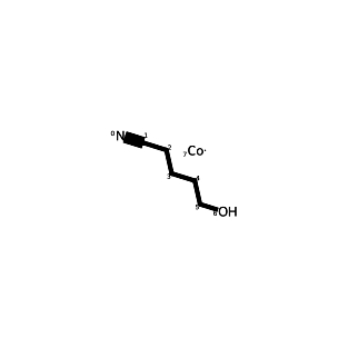 N#CCCCCO.[Co]